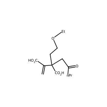 C=C(C(=O)O)C(CCOCC)(CC(=O)CCC)C(=O)O